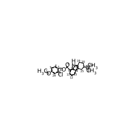 COc1ccc(COC(=O)c2cccc3c4c([nH]c23)CCC(N(C)C)C4)c(Cl)c1